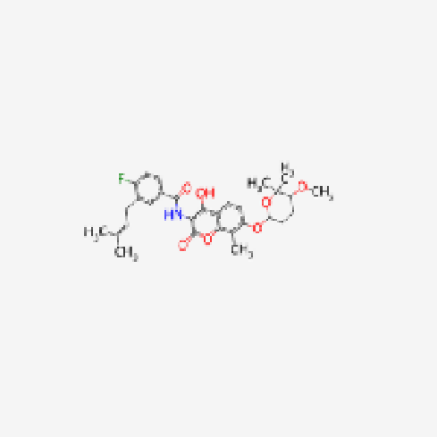 COC1CCC(Oc2ccc3c(O)c(NC(=O)c4ccc(F)c(CC=C(C)C)c4)c(=O)oc3c2C)OC1(C)C